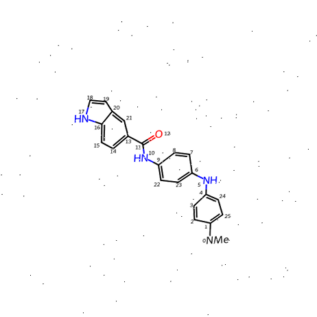 CNc1ccc(Nc2ccc(NC(=O)c3ccc4[nH]ccc4c3)cc2)cc1